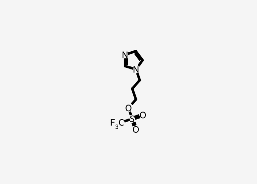 O=S(=O)(OCCCn1ccnc1)C(F)(F)F